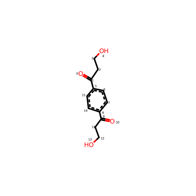 O=C(CCO)c1ccc(C(=O)CCO)cc1